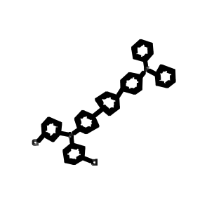 Clc1cccc(N(c2ccc(-c3ccc(-c4ccc(N(c5ccccc5)c5ccccc5)cc4)cc3)cc2)c2cccc(Cl)c2)c1